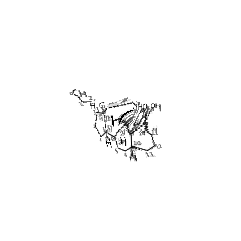 CCC[C@H]1CC[C@H]2[C@@H]3CC[C@H]4CCCC(O)(O)[C@]4(C)[C@H]3CC[C@]12C